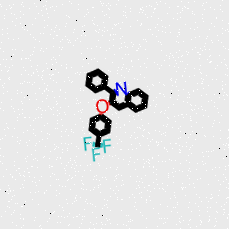 FC(F)(F)c1ccc(Oc2cc3ccccc3nc2-c2ccccc2)cc1